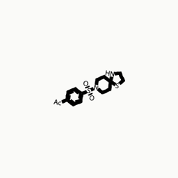 CC(=O)c1ccc(S(=O)(=O)N2CCC3(CC2)NCCS3)cc1